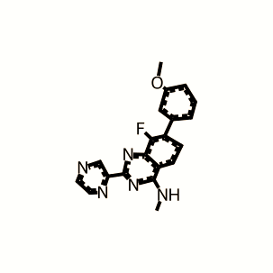 CNc1nc(-c2cnccn2)nc2c(F)c(-c3cccc(OC)c3)ccc12